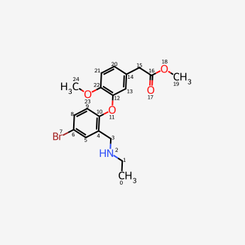 CCNCc1cc(Br)ccc1Oc1cc(CC(=O)OC)ccc1OC